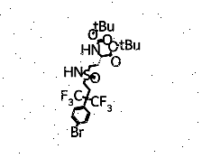 CC(C)(C)OC(=O)N[C@@H](CCS(=N)(=O)CCC(c1ccc(Br)cc1)(C(F)(F)F)C(F)(F)F)C(=O)OC(C)(C)C